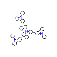 c1ccc(-n2c3ccccc3c3cc(-c4ccc(N(c5ccc(-c6ccc7c(c6)c6ccccc6n7-c6ccccc6)c6ccccc56)c5ccc(-c6ccc7c8ccccc8n(-c8ccccc8)c7c6)c6ccccc56)cc4)ccc32)cc1